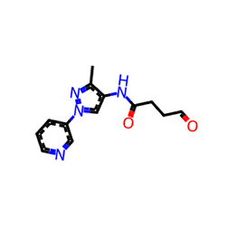 Cc1nn(-c2cccnc2)cc1NC(=O)CCC=O